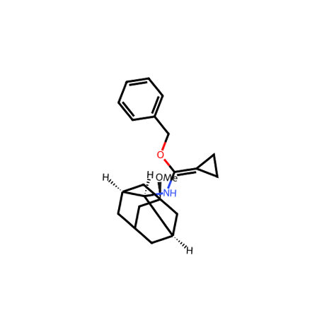 CO[C@]12CC3C[C@H](C1)[C@H](NC(OCc1ccccc1)=C1CC1)[C@@H](C3)C2